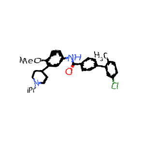 COc1ccc(NC(=O)c2ccc(-c3cc(Cl)ccc3C)cc2)cc1C1CCN(C(C)C)CC1